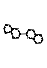 c1ccc2pc(-c3ccc4ccccc4p3)ccc2c1